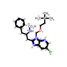 C[Si](C)(C)CCOCn1c(CC(Cc2ccccc2)NC(=O)O)nc2cc(Br)cnc21